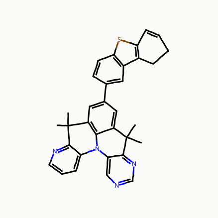 CC1(C)c2cc(-c3ccc4sc5c(c4c3)CCC=C5)cc3c2N(c2cccnc21)c1cncnc1C3(C)C